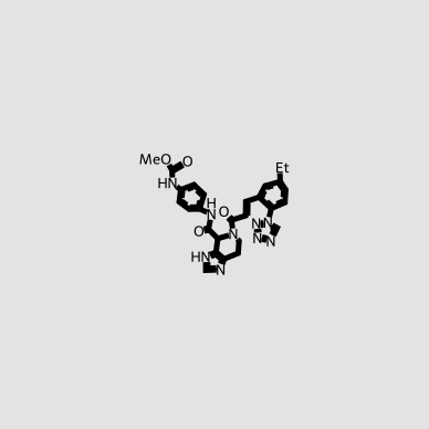 CCc1ccc(-n2cnnn2)c(/C=C/C(=O)N2CCc3nc[nH]c3C2C(=O)Nc2ccc(NC(=O)OC)cc2)c1